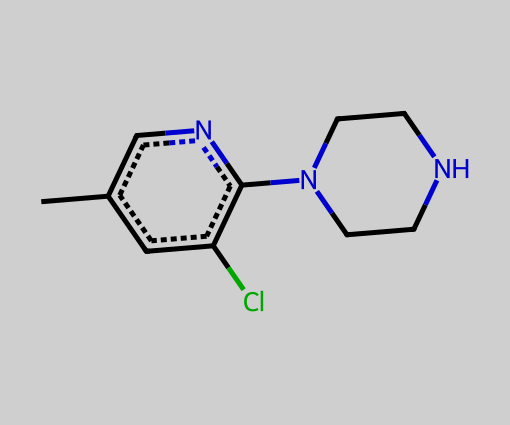 Cc1cnc(N2CCNCC2)c(Cl)c1